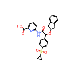 O=C(O)c1cccc(NC(=O)C(OC2Cc3ccccc3C2)c2ccc(S(=O)(=O)C3CC3)cc2)n1